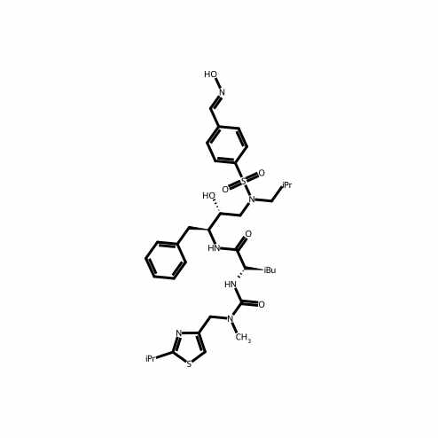 CC[C@H](C)[C@H](NC(=O)N(C)Cc1csc(C(C)C)n1)C(=O)N[C@@H](Cc1ccccc1)[C@H](O)CN(CC(C)C)S(=O)(=O)c1ccc(/C=N/O)cc1